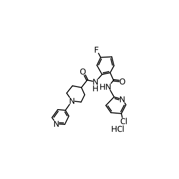 Cl.O=C(Nc1ccc(Cl)cn1)c1ccc(F)cc1NC(=O)C1CCN(c2ccncc2)CC1